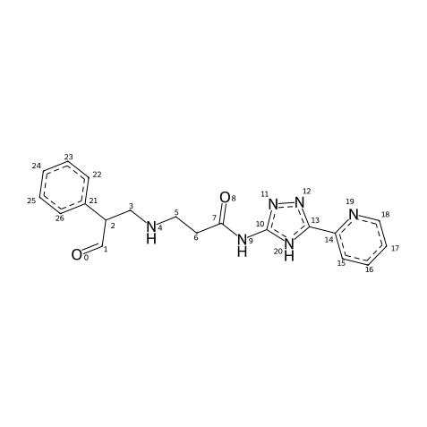 O=CC(CNCCC(=O)Nc1nnc(-c2ccccn2)[nH]1)c1ccccc1